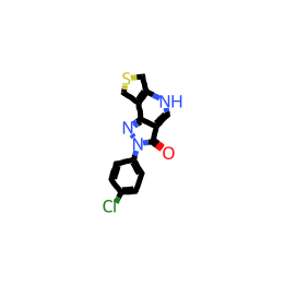 O=c1c2c[nH]c3c(c-2nn1-c1ccc(Cl)cc1)CSC3